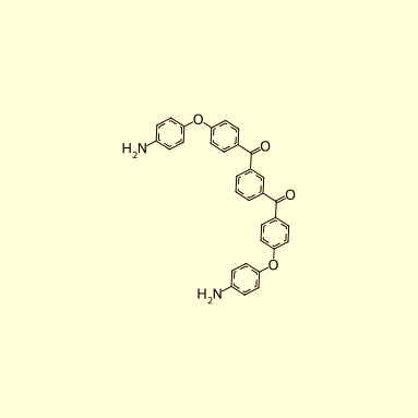 Nc1ccc(Oc2ccc(C(=O)c3cccc(C(=O)c4ccc(Oc5ccc(N)cc5)cc4)c3)cc2)cc1